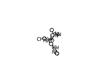 O=C([C@@H](Cc1ccc(Cl)cc1)N[C@H]1CC[C@@H](NCc2nc3ccccc3s2)CC1)N1CCC(Cn2cncn2)(C2CCCCC2)CC1